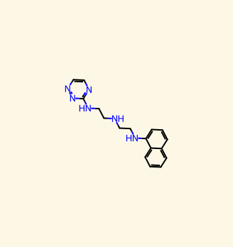 c1ccc2c(NCCNCCNc3nccnn3)cccc2c1